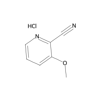 COc1cccnc1C#N.Cl